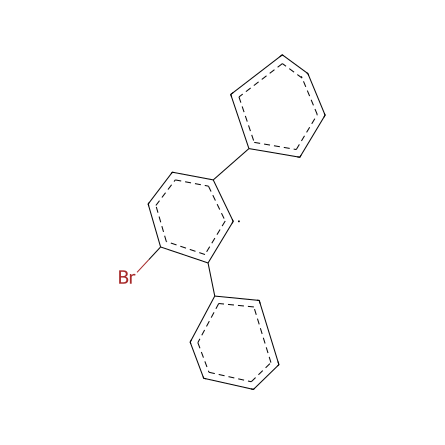 Brc1ccc(-c2ccccc2)[c]c1-c1ccccc1